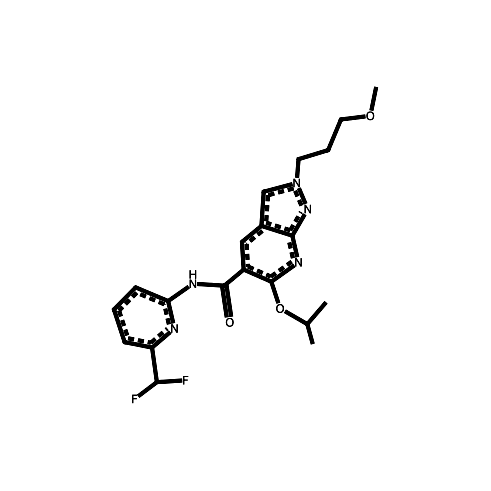 COCCCn1cc2cc(C(=O)Nc3cccc(C(F)F)n3)c(OC(C)C)nc2n1